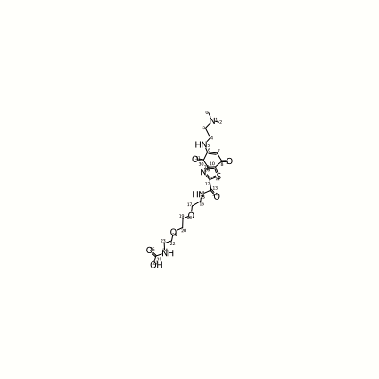 CN(C)CCNC1=CC(=O)c2sc(C(=O)NCCOCCOCCNC(=O)O)nc2C1=O